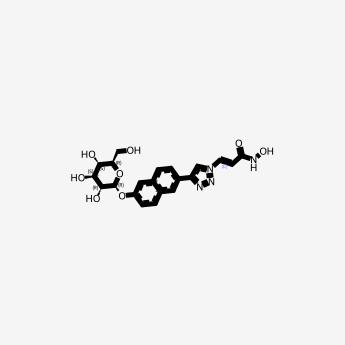 O=C(/C=C/n1cc(-c2ccc3cc(O[C@H]4O[C@H](CO)[C@@H](O)[C@H](O)[C@H]4O)ccc3c2)nn1)NO